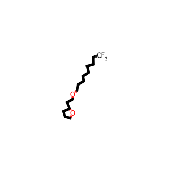 FC(F)(F)CCCCCCCCOCCC1CCCO1